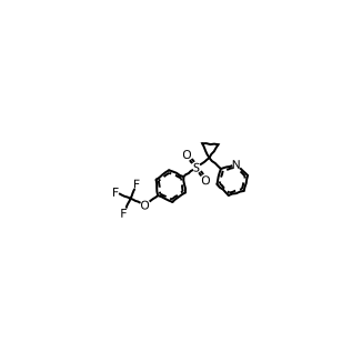 O=S(=O)(c1ccc(OC(F)(F)F)cc1)C1(c2ccccn2)CC1